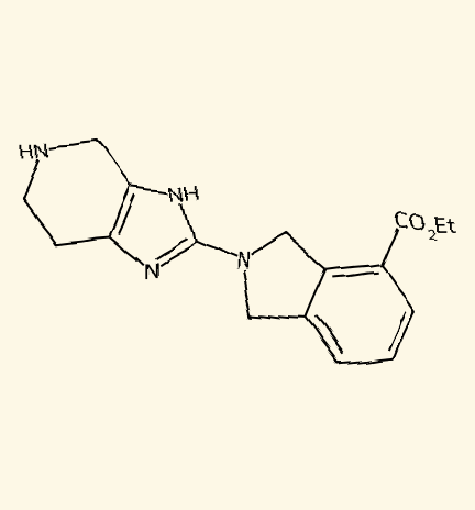 CCOC(=O)c1cccc2c1CN(c1nc3c([nH]1)CNCC3)C2